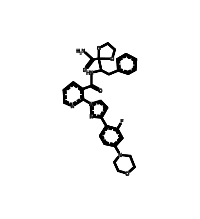 NC(=O)C1(C(Cc2ccccc2)NC(=O)c2cccnc2-n2ccc(-c3ccc(N4CCOCC4)cc3F)n2)OCCO1